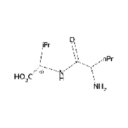 CCCC(N)C(=O)N[C@H](C(=O)O)C(C)C